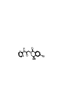 O=C(CN1CC2(CC2)c2cc(Br)ccc2C1=O)Nc1ncccn1